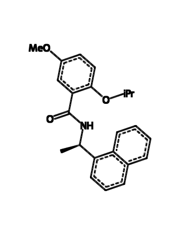 COc1ccc(OC(C)C)c(C(=O)N[C@H](C)c2cccc3ccccc23)c1